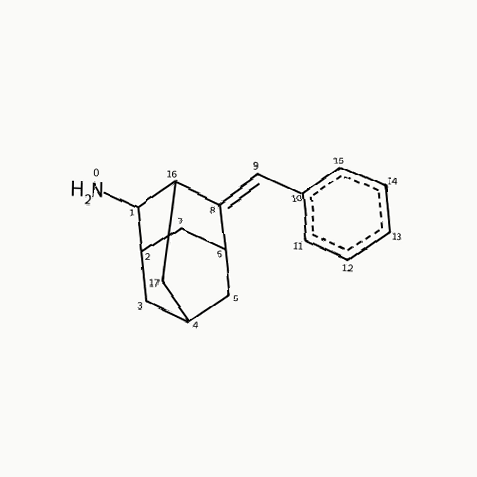 NC1C2CC3CC(C2)C(=Cc2ccccc2)C1C3